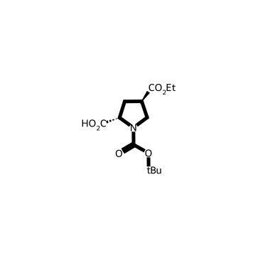 CCOC(=O)[C@@H]1C[C@@H](C(=O)O)N(C(=O)OC(C)(C)C)C1